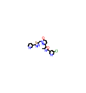 Cc1nc(-c2cncc(Cl)c2)oc1-c1ccc(=O)n(Cc2nnc(-c3cccnc3)s2)n1